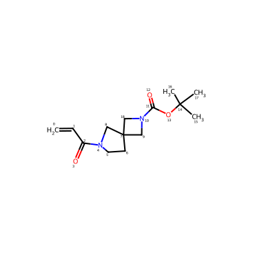 C=CC(=O)N1CCC2(C1)CN(C(=O)OC(C)(C)C)C2